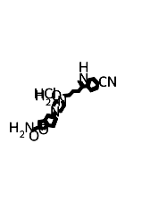 Cl.N#Cc1ccc2c(CCCCN3CCN(c4ccc5oc(C(N)=O)cc5c4)CC3)c[nH]c2c1.O